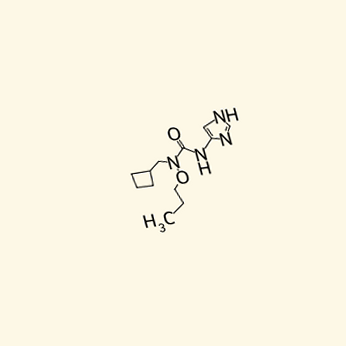 CCCON(CC1CCC1)C(=O)Nc1c[nH]cn1